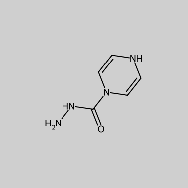 NNC(=O)N1C=CNC=C1